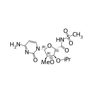 CO[C@@H]1[C@H](OC(C)C)[C@@H](C(=O)NS(C)(=O)=O)O[C@H]1n1ccc(N)nc1=O